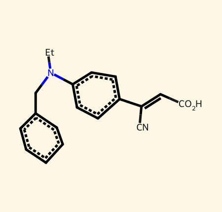 CCN(Cc1ccccc1)c1ccc(C(C#N)=CC(=O)O)cc1